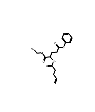 C=CCCC(=O)NC(CCC(=O)Sc1ccccc1)C(=O)OCC#N